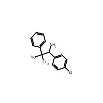 CC(O)(c1ccccc1)C(N)c1ccc(Cl)cc1